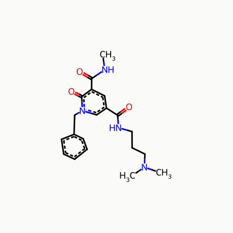 CNC(=O)c1cc(C(=O)NCCCN(C)C)cn(Cc2ccccc2)c1=O